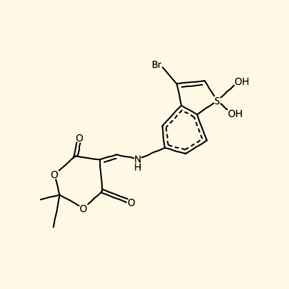 CC1(C)OC(=O)C(=CNc2ccc3c(c2)C(Br)=CS3(O)O)C(=O)O1